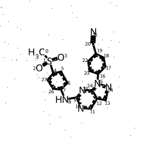 CS(=O)(=O)c1ccc(Nc2ncc3cnn(-c4ccc(C#N)cc4)c3n2)cc1